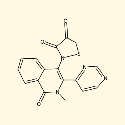 Cn1c(-c2ccncn2)c(N2SCC(=O)C2=O)c2ccccc2c1=O